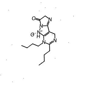 CCCCC1=NCC2=C(N1CCCC)[NH+]([O-])N1C(=O)CN=C21